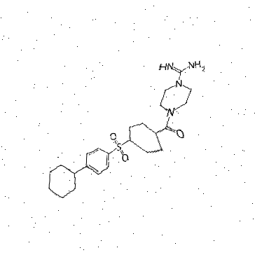 N=C(N)N1CCN(C(=O)C2CCC(S(=O)(=O)c3ccc(C4CCCCC4)cc3)CC2)CC1